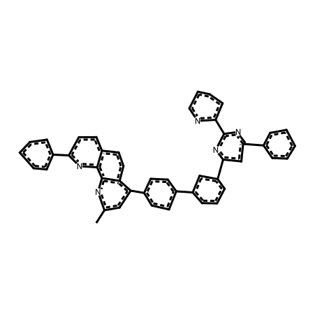 Cc1cc(-c2ccc(-c3cccc(-c4cc(-c5ccccc5)nc(-c5ccccn5)n4)c3)cc2)c2ccc3ccc(-c4ccccc4)nc3c2n1